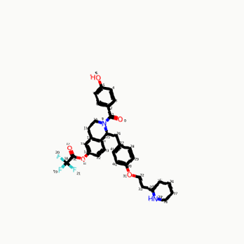 O=C(c1ccc(O)cc1)N1CCc2cc(OC(=O)C(F)(F)F)ccc2C1Cc1ccc(OCCC2CCCCN2)cc1